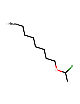 CCCCCCCCCCCCCOC(C)F